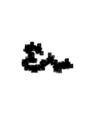 C[C@@H]1CN(CC(=O)N2CC(C)(C)c3[nH]c(=O)c(Cc4ccc(Cl)cc4Cl)cc32)[C@@H](CN2CCO[C@H](C(=O)NCc3ccc(CNC(=O)[C@@H]4CN(C[C@H]5CN[C@H](C)CN5CC(=O)N5CC(C)(C)c6[nH]c(=O)c(Cc7ccc(Cl)cc7Cl)cc65)CCO4)cc3)C2)CN1